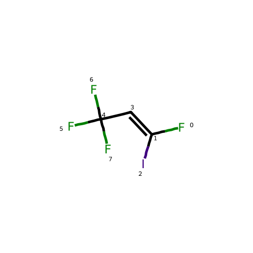 FC(I)=CC(F)(F)F